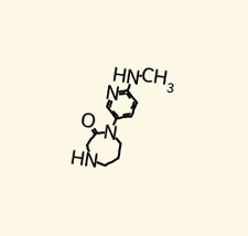 CNc1ccc(N2CCCNCC2=O)cn1